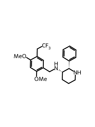 COc1cc(OC)c(CC(F)(F)F)cc1CN[C@H]1CCCN[C@H]1c1ccccc1